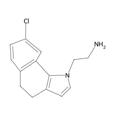 NCCn1ccc2c1-c1cc(Cl)ccc1CC2